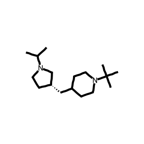 CC(C)N1CC[C@@H](CC2CCN(C(C)(C)C)CC2)C1